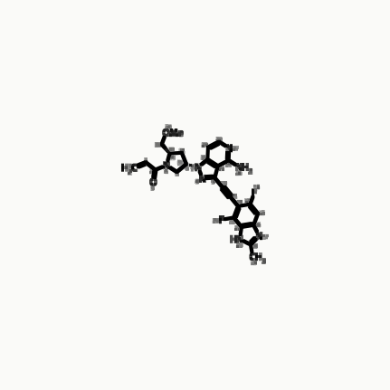 C=CC(=O)N1C[C@@H](n2nc(C#Cc3c(F)cc4nc(C)[nH]c4c3F)c3c(N)nccc32)C[C@@H]1COC